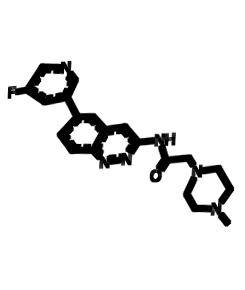 CN1CCN(CC(=O)Nc2cc3cc(-c4cncc(F)c4)ccc3nn2)CC1